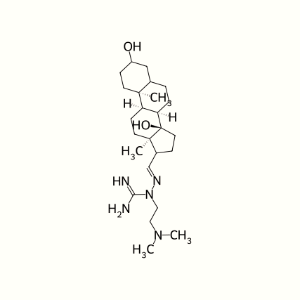 CN(C)CCN(/N=C/C1CC[C@@]2(O)[C@@H]3CCC4CC(O)CC[C@]4(C)[C@@H]3CC[C@]12C)C(=N)N